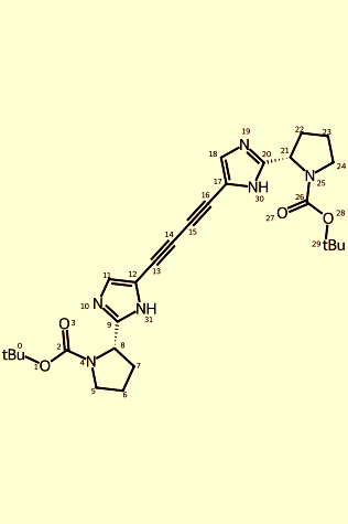 CC(C)(C)OC(=O)N1CCC[C@H]1c1ncc(C#CC#Cc2cnc([C@@H]3CCCN3C(=O)OC(C)(C)C)[nH]2)[nH]1